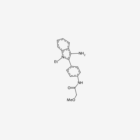 CCn1c(-c2ccc(NC(=O)COC)cc2)c(N)c2ccccc21